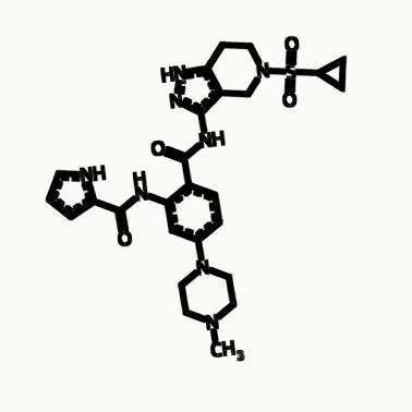 CN1CCN(c2ccc(C(=O)Nc3n[nH]c4c3CN(S(=O)(=O)C3CC3)CC4)c(NC(=O)c3ccc[nH]3)c2)CC1